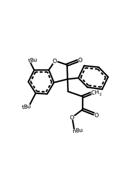 C=C(CC1(c2ccccc2)C(=O)Oc2c(C(C)(C)C)cc(C(C)(C)C)cc21)C(=O)OCCCC